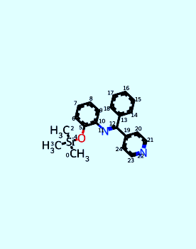 C[Si](C)(C)Oc1ccccc1N=C(c1ccccc1)c1ccncc1